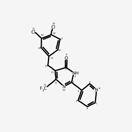 O=c1[nH]c(-c2cccnc2)nc(C(F)(F)F)c1Cc1ccc(Cl)c(Cl)c1